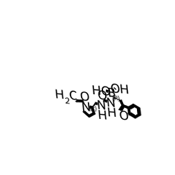 C=CC(=O)N1CCC[C@@H]1CNC(=O)N[C@@H](Cc1coc2ccccc12)B(O)O